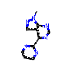 Cn1ncc2c(-c3ncccn3)ncnc21